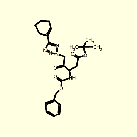 CC(C)(C)OC(=O)CC(NC(=O)OCc1ccccc1)C(=O)Cn1nnc(C2=CCCCC2)n1